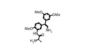 COc1cc(OC)cc(C(=CN)c2ccc(OC)c(NC(=O)[C@@H](C)N)c2)c1